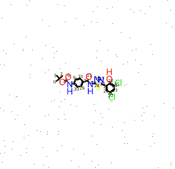 CC(C)(C)OC(=O)Nc1ccc(C(=O)Nc2nnc(-c3cc(Cl)cc(Cl)c3O)s2)cc1